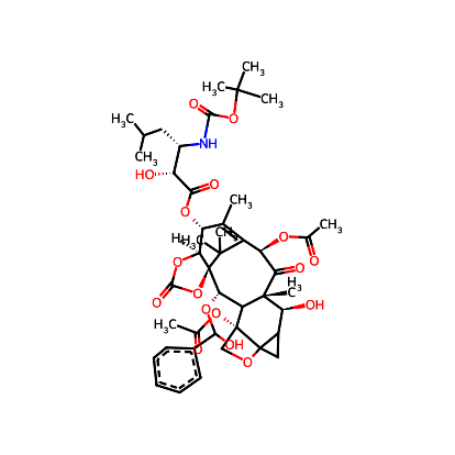 CC(=O)O[C@H]1C(=O)[C@@]2(C)C([C@H](OC(O)c3ccccc3)[C@]34OC(=O)O[C@H]3[C@H](OC(=O)[C@H](O)[C@H](CC(C)C)NC(=O)OC(C)(C)C)C(C)=C1C4(C)C)[C@]1(OC(C)=O)COC13CC3[C@@H]2O